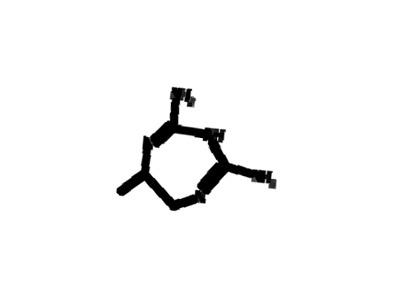 CC1CN=C(N)NC(N)=N1